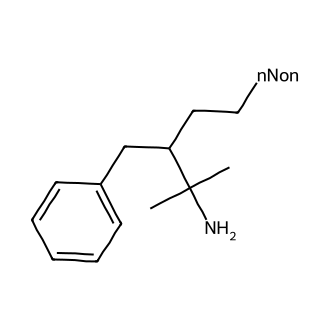 CCCCCCCCCCCC(Cc1ccccc1)C(C)(C)N